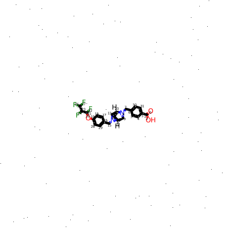 O=C(O)c1ccc(CN2C[C@@H]3C[C@H]2CN3Cc2ccc(OC(F)C(F)C(F)F)cc2)cc1